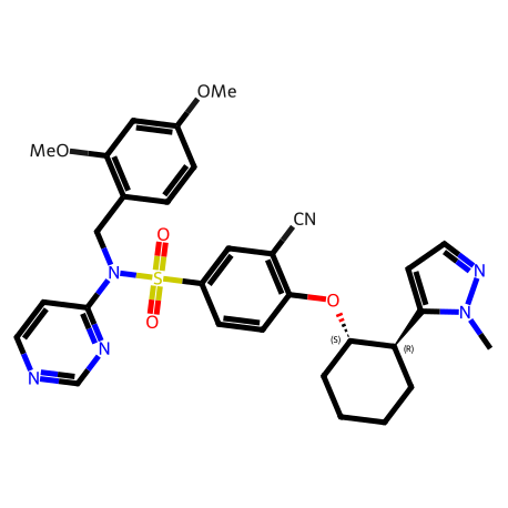 COc1ccc(CN(c2ccncn2)S(=O)(=O)c2ccc(O[C@H]3CCCC[C@@H]3c3ccnn3C)c(C#N)c2)c(OC)c1